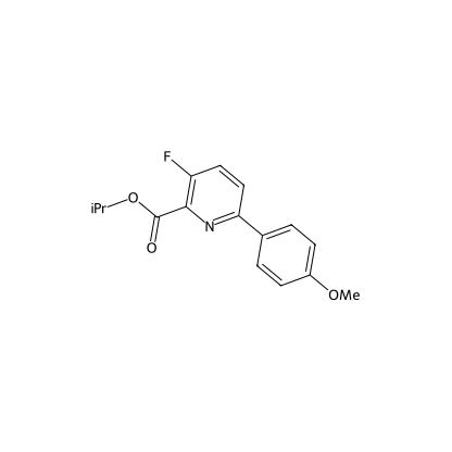 COc1ccc(-c2ccc(F)c(C(=O)OC(C)C)n2)cc1